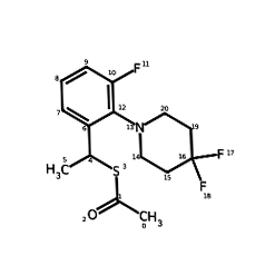 CC(=O)SC(C)c1cccc(F)c1N1CCC(F)(F)CC1